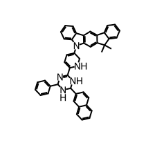 CC1(C)c2ccccc2-c2cc3c4ccccc4n(C4=CC=C(C5=NC(c6ccccc6)NC(c6ccc7ccccc7c6)N5)NC4)c3cc21